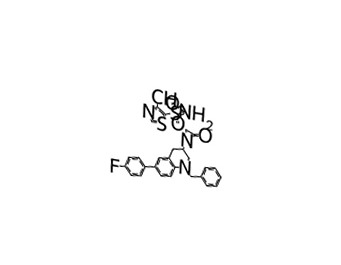 Cc1ncsc1S(N)(=O)=O.O=C1CN1C1Cc2cc(-c3ccc(F)cc3)ccc2N(Cc2ccccc2)C1